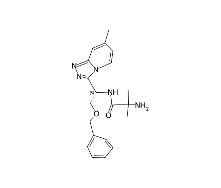 Cc1ccn2c([C@@H](COCc3ccccc3)NC(=O)C(C)(C)N)nnc2c1